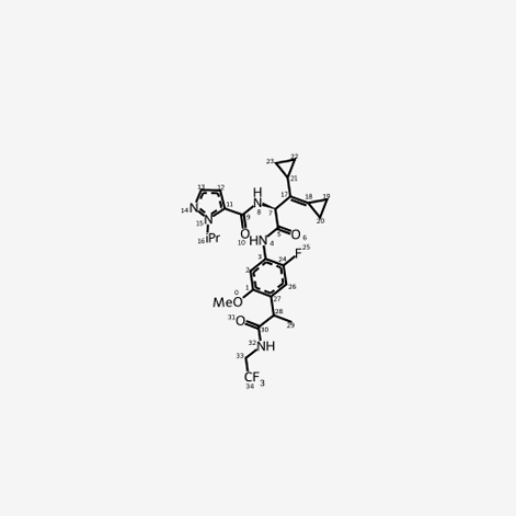 COc1cc(NC(=O)[C@@H](NC(=O)c2ccnn2C(C)C)C(=C2CC2)C2CC2)c(F)cc1C(C)C(=O)NCC(F)(F)F